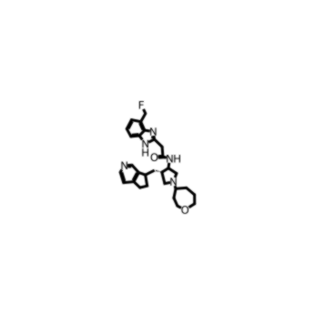 O=C(Cc1nc2c(CF)cccc2[nH]1)NC1CN(C2CCCOCC2)C[C@@H]1CC1CCc2ccncc21